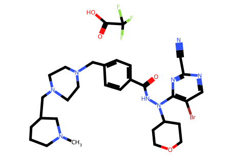 CN1CCCC(CN2CCN(Cc3ccc(C(=O)NN(c4nc(C#N)ncc4Br)C4CCOCC4)cc3)CC2)C1.O=C(O)C(F)(F)F